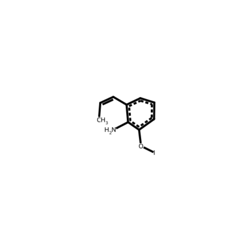 C/C=C\c1cccc(OI)c1N